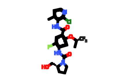 Cc1ccnc(Cl)c1NC(=O)c1cc(F)c(NC(=O)N2CCC[C@@H]2CO)cc1O[C@@H](C)C(F)(F)F